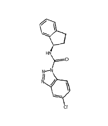 O=C(N[C@@H]1CCc2ccccc21)n1nnc2cc(Cl)ccc21